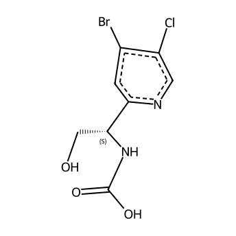 O=C(O)N[C@H](CO)c1cc(Br)c(Cl)cn1